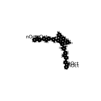 CCCCCCCCC1(CCCCCCCC)c2ccccc2-c2ccc(-c3ccc4c(c3)C(C)(C)c3cc(-c5cc(C)c(-c6cc7c8c(c6)c6cc(-c9c(C)cc(-c%10ccc%11c(c%10)C(C)(C)c%10cc(-c%12ccc%13c(c%12)C(CCCCCCCC)(CCCCCCCC)c%12ccccc%12-%13)ccc%10-%11)cc9C)cc9c6n8-c6c(cccc6B9c6c(C)cc(C)cc6C)B7c6c(C)cc(C)cc6C)c(C)c5)ccc3-4)cc21